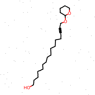 OCCCCCCCCCCCCCC#CCOC1CCCCO1